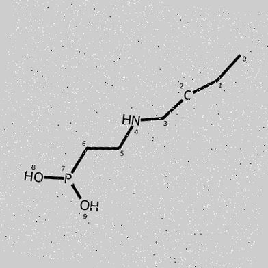 CCCCNCCP(O)O